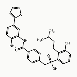 CC(C)CCc1c(O)cccc1P(=O)(O)Cc1ccc(C(=O)Nc2cc(-c3cccs3)ccc2N)cc1